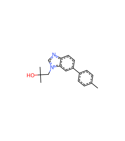 Cc1ccc(-c2ccc3ncn(CC(C)(C)O)c3c2)cc1